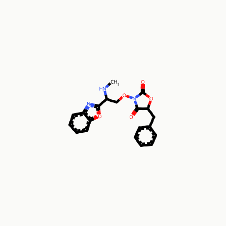 CNC(CON1C(=O)OC(Cc2ccccc2)C1=O)c1nc2ccccc2o1